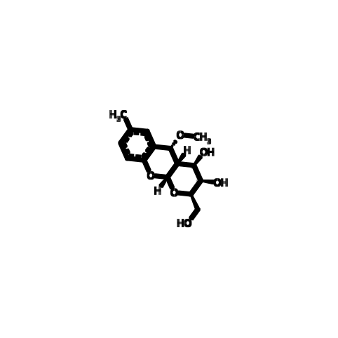 CO[C@H]1c2cc(C)ccc2O[C@H]2O[C@H](CO)[C@H](O)[C@H](O)[C@H]21